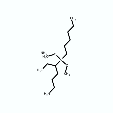 CCCCCC[Si](OC)(OC)C(CC)CCCN.N